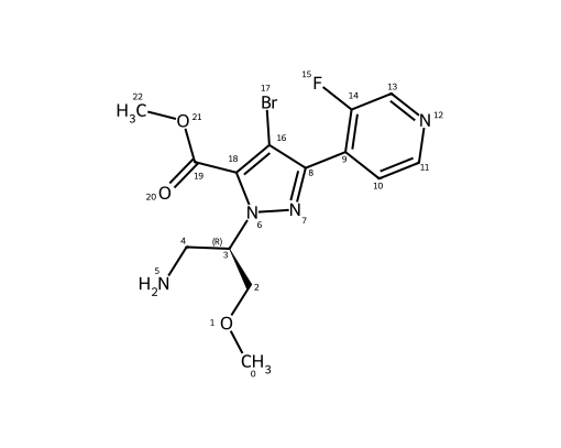 COC[C@@H](CN)n1nc(-c2ccncc2F)c(Br)c1C(=O)OC